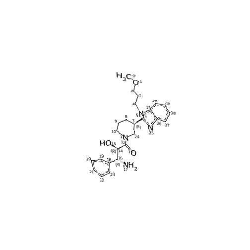 COCCCn1c([C@@H]2CCCN(C(=O)[C@H](O)[C@H](N)c3ccccc3)C2)nc2ccccc21